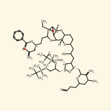 C=C(Br)C[C@H](CCC1OC2C(CC)OC3C(O1)[C@H]1OC(CC(O)CC4[C@H](CC5OC(CCC=O)CC(C)C5=C)O[C@H](CC(CO[Si](C)(C)C(C)(C)C)O[Si](C)(C)C(C)(C)C)[C@@H]4OC)CCC1O[C@@H]23)OC(=O)c1ccccc1